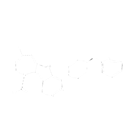 O=C(O)N1CC=C(Cl)C=c2[nH]c3c(c21)CN=NC=3[C@H]1CC[C@H](Oc2ccccn2)CC1